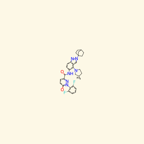 C[C@@H]1CCN(c2c(NC(=O)c3ccc(=O)n(-c4c(F)cccc4F)n3)ccc3nn(C45CCC(CC4)C5)cc23)C1